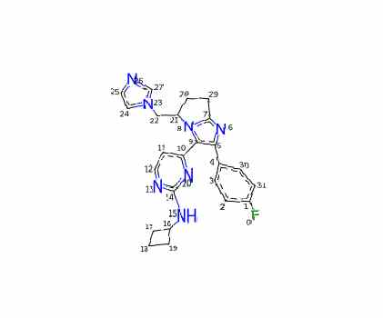 Fc1ccc(-c2nc3n(c2-c2ccnc(NC4CCC4)n2)C(Cn2ccnc2)CC3)cc1